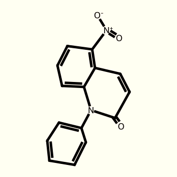 O=c1ccc2c([N+](=O)[O-])cccc2n1-c1ccccc1